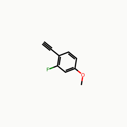 C#Cc1ccc(OC)cc1F